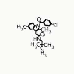 Cc1ccc2c(c1)c(CC(=O)NCC(C)(C)C)c(C)n2C(=O)c1ccc(Cl)cc1